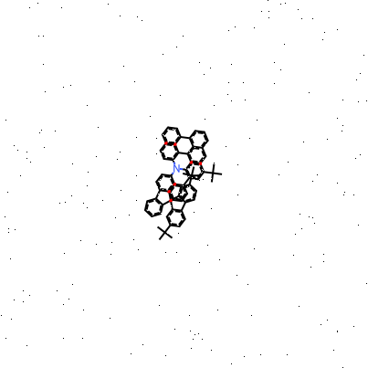 CC(C)(C)c1ccc(N(c2ccc3c(c2)C2(c4ccccc4-3)c3cc(C(C)(C)C)ccc3-c3ccc(C(C)(C)C)cc32)c2ccccc2-c2cccc3cccc(-c4ccccc4)c23)c(-c2ccccc2)c1